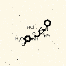 CCCN1C(=NC2CCCCC2)SCC1CC(=O)Nc1ccc(C)c(Cl)c1.Cl